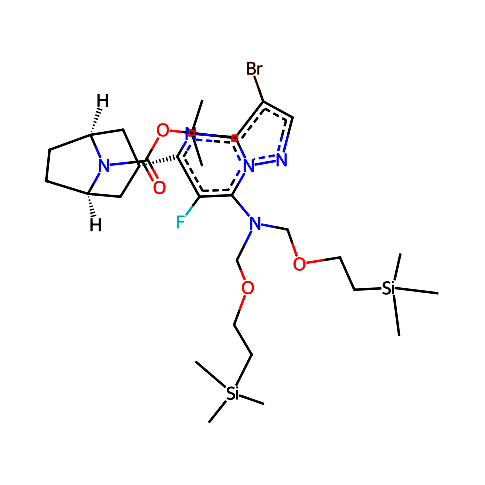 CC(C)(C)OC(=O)N1[C@@H]2CC[C@H]1C[C@H](c1nc3c(Br)cnn3c(N(COCC[Si](C)(C)C)COCC[Si](C)(C)C)c1F)C2